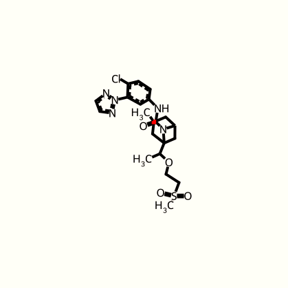 CC1CC2CC(C(C)OCCS(C)(=O)=O)(C1)N2C(=O)Nc1ccc(Cl)c(-n2nccn2)c1